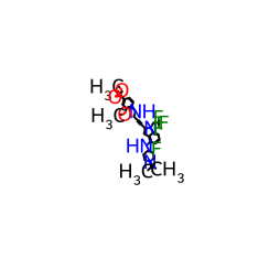 COC(=O)c1ccc(NCC#Cc2cc3c(N[C@H]4CCN(C(C)C)C[C@H]4F)cccc3n2CC(F)(F)F)c(OC)c1